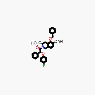 COc1ccc2c(c1OCc1ccccc1)C[C@@H](C(=O)O)N(C(=O)[C@H](Oc1ccc(F)cc1)c1ccccc1)C2